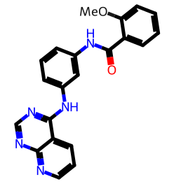 COc1ccccc1C(=O)Nc1cccc(Nc2ncnc3ncccc23)c1